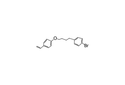 C=Cc1ccc(OCCCCc2ccc(Br)cc2)cc1